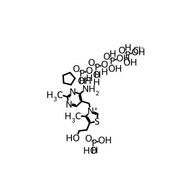 C1CCCC1.Cc1ncc(C[n+]2csc(CCO)c2C)c(N)n1.O=[PH](O)O.O=[PH](O)O.O=[PH](O)O.O=[PH](O)O.O=[PH](O)O.[Cl-]